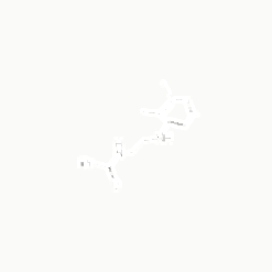 Cc1c[c]cc(NCCNC(=O)C(C)C)c1C